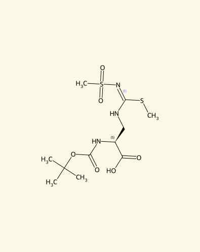 CS/C(=N/S(C)(=O)=O)NC[C@H](NC(=O)OC(C)(C)C)C(=O)O